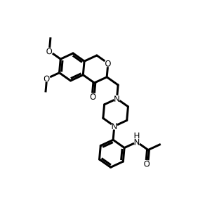 COc1cc2c(cc1OC)C(=O)C(CN1CCN(c3ccccc3NC(C)=O)CC1)OC2